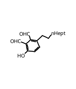 CCCCCCCCCc1ccc(O)c(C=O)c1C=O